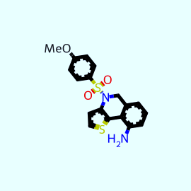 COc1ccc(S(=O)(=O)N2Cc3cccc(N)c3-c3sccc32)cc1